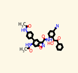 CC(=O)Nc1ccc(-c2cc3c(C(=O)Nc4ccc(C#N)cc4C(O)C(=O)c4ccccc4)noc3cc2NC(C)=O)cc1